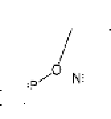 CO[P].[N]